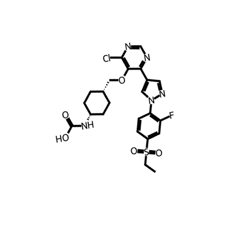 CCS(=O)(=O)c1ccc(-n2cc(-c3ncnc(Cl)c3OC[C@H]3CC[C@@H](NC(=O)O)CC3)cn2)c(F)c1